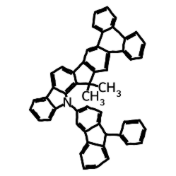 CC1(C)c2cc3c4ccccc4c4ccccc4c3cc2-c2ccc3c4ccccc4n(-c4ccc5c(c4)-c4ccccc4C5c4ccccc4)c3c21